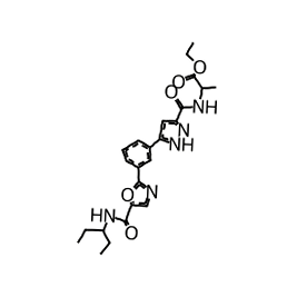 CCOC(=O)C(C)NC(=O)c1cc(-c2cccc(-c3ncc(C(=O)NC(CC)CC)o3)c2)[nH]n1